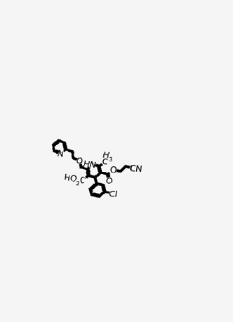 CC1=C(C(=O)OCCC#N)C(c2cccc(Cl)c2)C(C(=O)O)=C(COCCc2ccccn2)N1